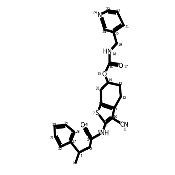 CC(CC(=O)Nc1sc2c(c1C#N)CCC(OC(=O)NCc1cccnc1)C2)c1ccccc1